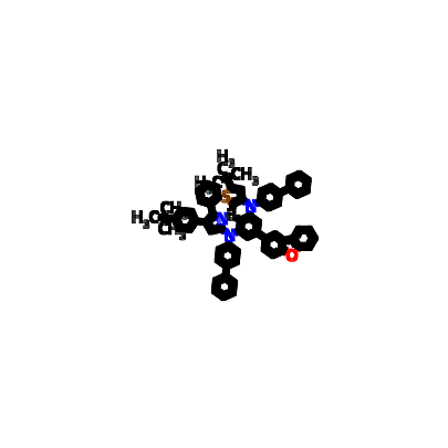 CC(C)(C)c1ccc(-c2cc3n(c2-c2ccccc2)B2c4sc(C(C)(C)C)cc4N(c4ccc(-c5ccccc5)cc4)c4cc(-c5ccc6oc7ccccc7c6c5)cc(c42)N3c2ccc(-c3ccccc3)cc2)cc1